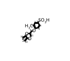 Cc1cc(S(=O)(=O)O)ccc1OCC1COc2cscc2O1